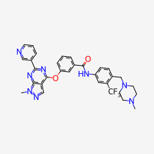 CN1CCN(Cc2ccc(NC(=O)c3cccc(Oc4nc(-c5cccnc5)nc5c4cnn5C)c3)cc2C(F)(F)F)CC1